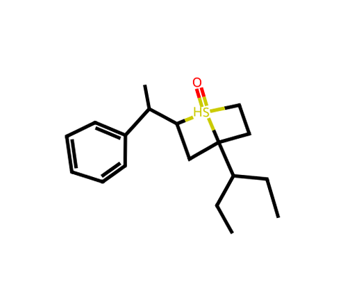 CCC(CC)C12CC[SH]1(=O)C(C(C)c1ccccc1)C2